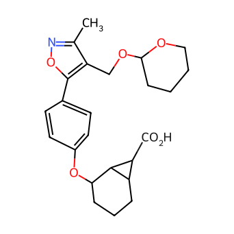 Cc1noc(-c2ccc(OC3CCCC4C(C(=O)O)C34)cc2)c1COC1CCCCO1